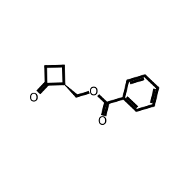 O=C(OC[C@@H]1CCC1=O)c1ccccc1